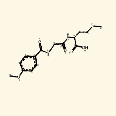 COc1ccc(C(=O)NCC(=O)N[C@@H](CCSC)C(=O)O)cc1